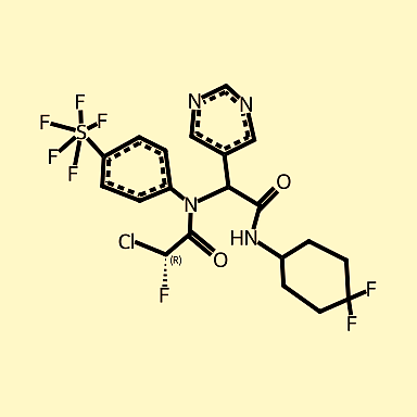 O=C(NC1CCC(F)(F)CC1)C(c1cncnc1)N(C(=O)[C@H](F)Cl)c1ccc(S(F)(F)(F)(F)F)cc1